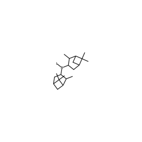 CC1C(B(I)C2CC3CC(C2C)C3(C)C)CC2CC1C2(C)C